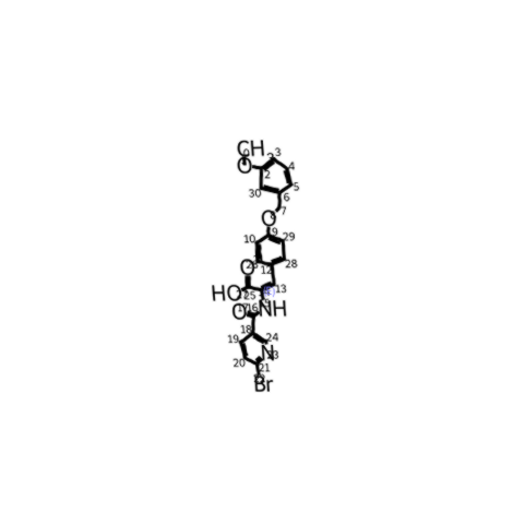 COc1cccc(COc2ccc(/C=C(/NC(=O)c3ccc(Br)nc3)C(=O)O)cc2)c1